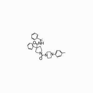 Cc1ccc(N2CCN(C(=O)N3CCC(C(=O)N[C@@H](C)c4ccccc4)(c4ccccc4)CC3)CC2)cc1